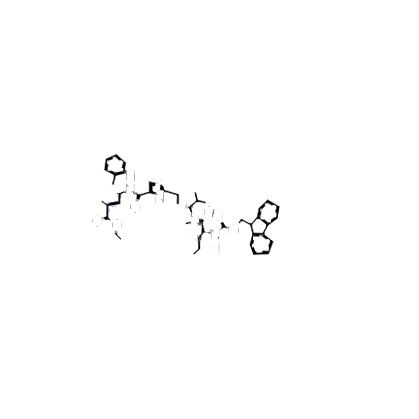 CCOC(=O)/C(C)=C/[C@H](Cc1ccccc1)NC(=O)c1csc(CC[C@H](C(C)C)N(C)C(=O)[C@@H](NC(=O)OCC2c3ccccc3-c3ccccc32)[C@@H](C)CC)n1